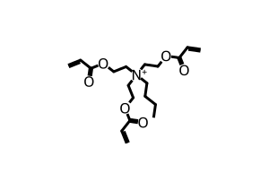 C=CC(=O)OCC[N+](CCCC)(CCOC(=O)C=C)CCOC(=O)C=C